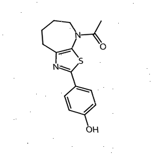 CC(=O)N1CCCCc2nc(-c3ccc(O)cc3)sc21